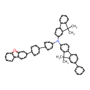 CC1(C)c2ccccc2-c2ccc(N(c3ccc(-c4ccc(-c5ccc6c(c5)oc5ccccc56)cc4)cc3)c3ccc4c(c3)C(C)(C)c3cc(-c5ccccc5)ccc3-4)cc21